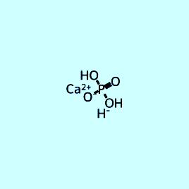 O=P([O-])(O)O.[Ca+2].[H-]